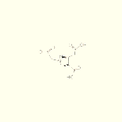 O=C(O)Cc1nn(CC(=O)O)cc1C(=O)O